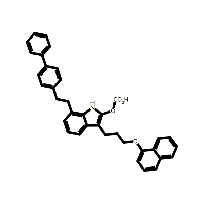 O=C(O)Oc1[nH]c2c(CCc3ccc(-c4ccccc4)cc3)cccc2c1CCCOc1cccc2ccccc12